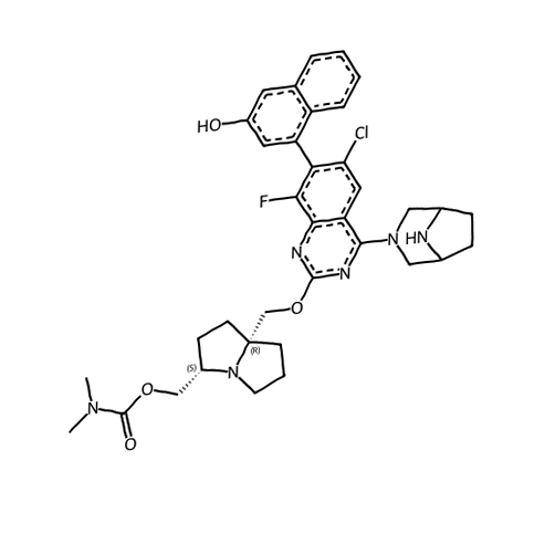 CN(C)C(=O)OC[C@@H]1CC[C@@]2(COc3nc(N4CC5CCC(C4)N5)c4cc(Cl)c(-c5cc(O)cc6ccccc56)c(F)c4n3)CCCN12